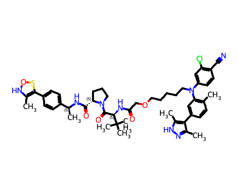 CC1=C(c2ccc([C@H](C)NC(=O)[C@@H]3CCCN3C(=O)[C@@H](NC(=O)COCCCCCN(c3ccc(C#N)c(Cl)c3)c3cc(-c4c(C)n[nH]c4C)ccc3C)C(C)(C)C)cc2)SON1